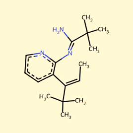 C/C=C(\c1cccnc1/N=C(\N)C(C)(C)C)C(C)(C)C